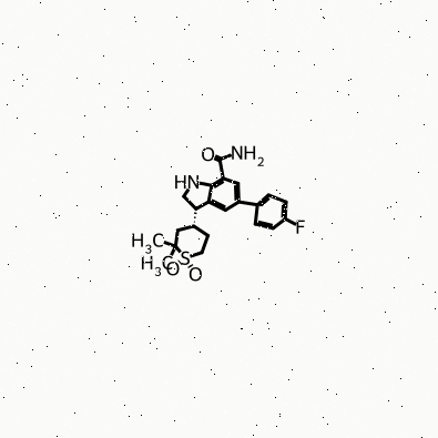 CC1(C)C[C@H](C2CNc3c(C(N)=O)cc(-c4ccc(F)cc4)cc32)CCS1(=O)=O